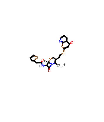 O=C(Cc1cccs1)NC1C(=O)N2C(C(=O)O)=C(C=CSc3cc(=O)c4cccnc4s3)CS[C@@H]12